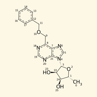 C[C@H]1O[C@@H](n2cnc3c(COCc4ccccc4)ncnc32)[C@H](O)[C@@H]1O